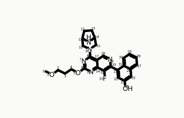 COCCCOc1nc(N2CC3CCC(C2)N3)c2cnc(-c3cc(O)cc4ccccc34)c(F)c2n1